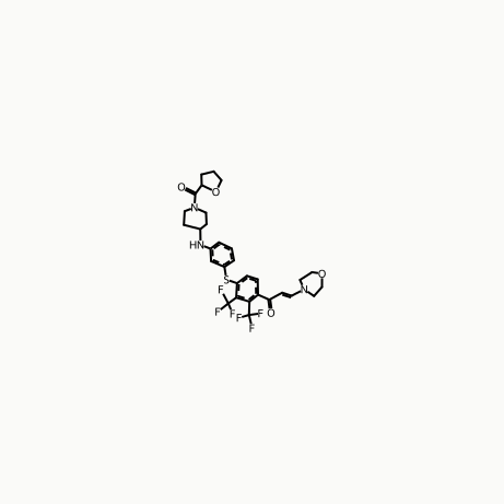 O=C(C=CN1CCOCC1)c1ccc(Sc2cccc(NC3CCN(C(=O)C4CCCO4)CC3)c2)c(C(F)(F)F)c1C(F)(F)F